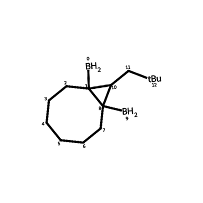 BC12CCCCCCC1(B)C2CC(C)(C)C